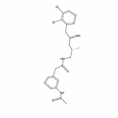 CC(=O)Nc1cccc(CC(=O)NC[C@@H](C)CC(=N)Cc2cccc(Cl)c2Cl)c1